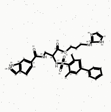 Cc1cc(-c2ccccc2)cc(C)c1S(=O)(=O)NC(CNC(=O)c1ccc2cn[nH]c2c1)C(=O)OCCCNc1ncc[nH]1